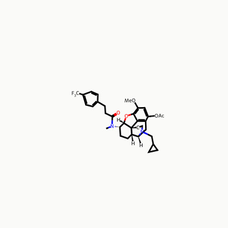 COc1cc(OC(C)=O)c2c3c1O[C@H]1[C@@H](N(C)C(=O)CCc4ccc(C(F)(F)F)cc4)CC[C@H]4[C@@H](C2)N(CC2CC2)CC[C@@]341